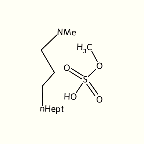 CCCCCCCCCCNC.COS(=O)(=O)O